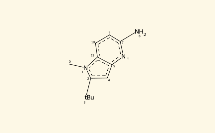 Cn1c(C(C)(C)C)cc2nc(N)ccc21